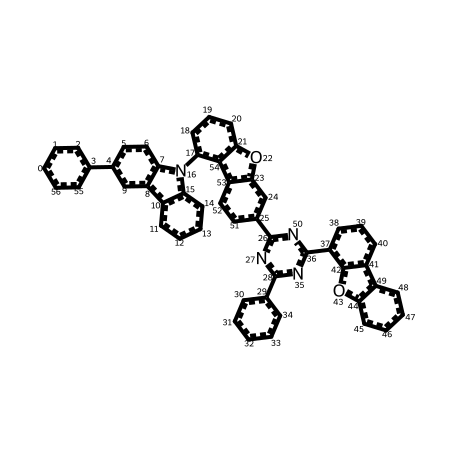 c1ccc(-c2ccc3c(c2)c2ccccc2n3-c2cccc3oc4cc(-c5nc(-c6ccccc6)nc(-c6cccc7c6oc6ccccc67)n5)ccc4c23)cc1